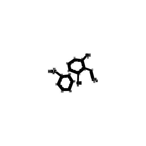 C=Cc1c(O)cccc1O.O=C(O)c1ccccc1